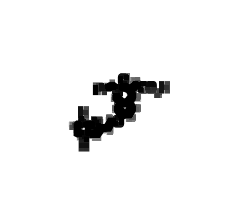 CC(C)CN1Cc2cc(OCCc3cn4c(n3)NCCN4)ccc2CC(CC(=O)O)C1=O